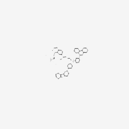 C=C/C=C\c1ccc(/C(C=C)=C/C=C/N(c2ccc(-c3ccc4sc5ccccc5c4c3)cc2)c2cccc(-c3cc4ccccc4c4ccccc34)c2)cc1/C=C\C=C